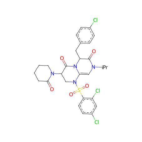 CC(C)N1C=C2N(C(=O)C(N3CCCCC3=O)CN2S(=O)(=O)c2ccc(Cl)cc2Cl)C(Cc2ccc(Cl)cc2)C1=O